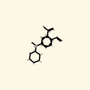 C=Cc1ccc(N(C)C2CCCCC2)cc1C(=C)C